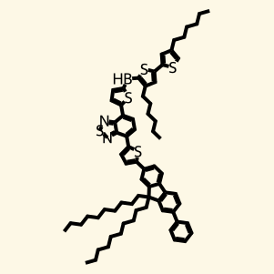 CCCCCCCCCCC1(CCCCCCCCCC)c2cc(-c3ccccc3)ccc2-c2ccc(-c3ccc(-c4ccc(-c5ccc(Bc6sc(-c7cc(CCCCCC)cs7)cc6CCCCCC)s5)c5nsnc45)s3)cc21